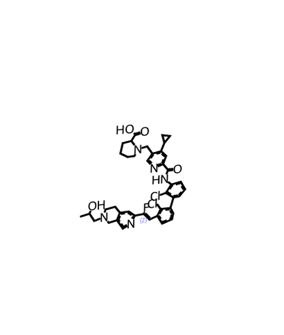 CC(O)CN1CCc2cc(/C(F)=C/c3cccc(-c4cccc(NC(=O)c5cc(C6CC6)c(CN6CCCCC6C(=O)O)cn5)c4Cl)c3Cl)ncc2C1